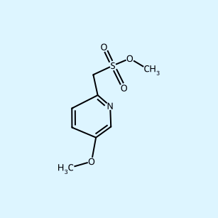 COc1ccc(CS(=O)(=O)OC)nc1